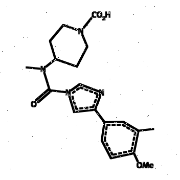 COc1ccc(-c2cn(C(=O)N(C)C3CCN(C(=O)O)CC3)cn2)cc1C